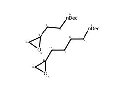 CCCCCCCCCCCCC1CO1.CCCCCCCCCCCCCCC1CO1